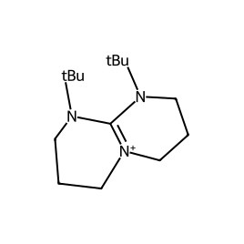 CC(C)(C)N1CCC[N+]2=C1N(C(C)(C)C)CCC2